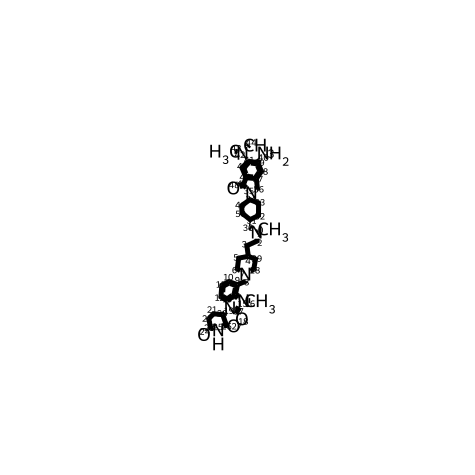 CN(CCC1CCN(Cc2cccc3c2n(C)c(=O)n3C2CCC(=O)NC2=O)CC1)C[C@H]1CC[C@H](N2Cc3cc(N)c(N(C)C)cc3C2=O)CC1